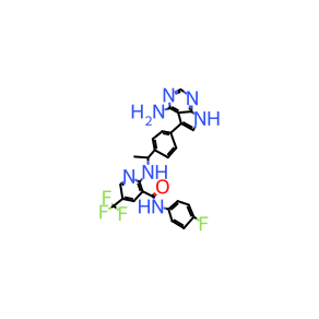 CC(Nc1ncc(C(F)(F)F)cc1C(=O)Nc1ccc(F)cc1)c1ccc(-c2c[nH]c3ncnc(N)c23)cc1